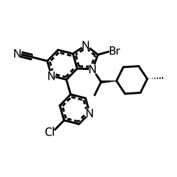 CC([C@H]1CC[C@H](C)CC1)n1c(Br)nc2cc(C#N)nc(-c3cncc(Cl)c3)c21